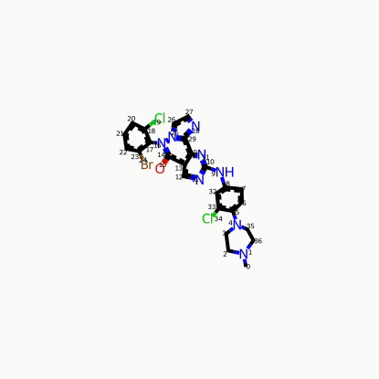 CN1CCN(c2ccc(Nc3ncc4c(=O)n(-c5c(Cl)cccc5Br)n5ccnc5c4n3)cc2Cl)CC1